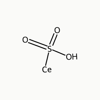 O=[S](=O)(O)[Ce]